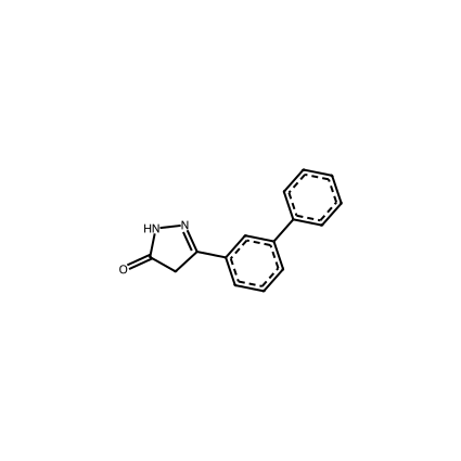 O=C1CC(c2cccc(-c3ccccc3)c2)=NN1